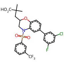 CC(C)(CC1CN(S(=O)(=O)c2cccc(C(F)(F)F)c2)c2cc(-c3cc(F)cc(Cl)c3)ccc2O1)C(=O)O